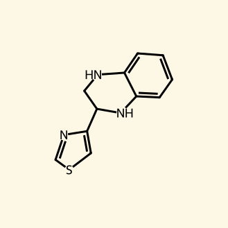 c1ccc2c(c1)NCC(c1cscn1)N2